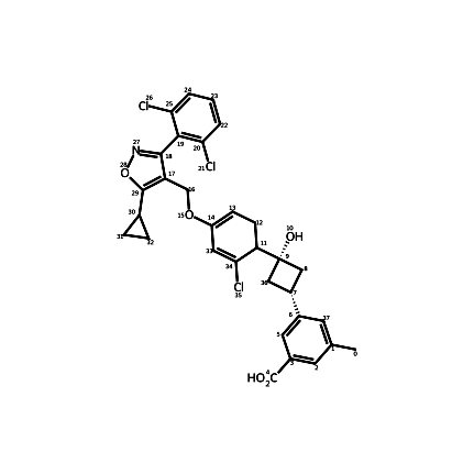 Cc1cc(C(=O)O)cc([C@H]2C[C@](O)(C3CC=C(OCc4c(-c5c(Cl)cccc5Cl)noc4C4CC4)C=C3Cl)C2)c1